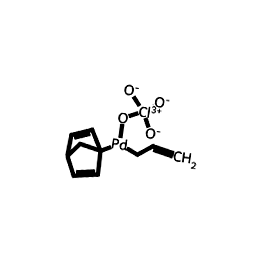 C=C[CH2][Pd]([O][Cl+3]([O-])([O-])[O-])[C]12C=CC(C=C1)C2